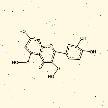 O=c1c(OO)c(-c2ccc(O)c(O)c2)oc2cc(O)cc(OO)c12